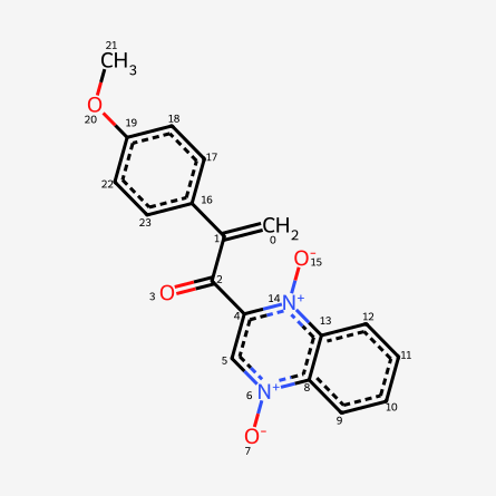 C=C(C(=O)c1c[n+]([O-])c2ccccc2[n+]1[O-])c1ccc(OC)cc1